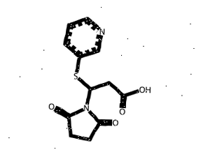 O=C(O)CC(Sc1cccnc1)N1C(=O)CCC1=O